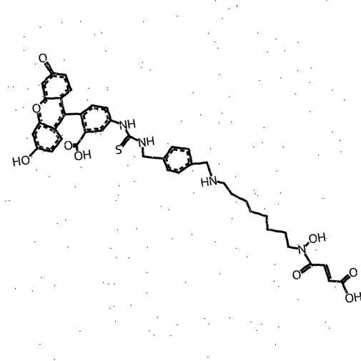 O=C(O)/C=C/C(=O)N(O)CCCCCCCCNCc1ccc(CNC(=S)Nc2ccc(-c3c4ccc(=O)cc-4oc4cc(O)ccc34)c(C(=O)O)c2)cc1